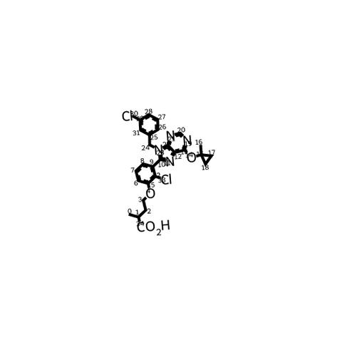 CC(CCOc1cccc(-c2nc3c(OC4(C)CC4)ncnc3n2Cc2cccc(Cl)c2)c1Cl)C(=O)O